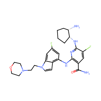 NC(=O)c1cc(F)c(N[C@@H]2CCCC[C@@H]2N)nc1Nc1cc(F)cc2c1ccn2CCN1CCOCC1